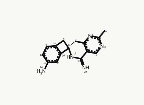 Cc1ncc2c(n1)C[C@]1(Cc3ccc(N)cc31)NC2=N